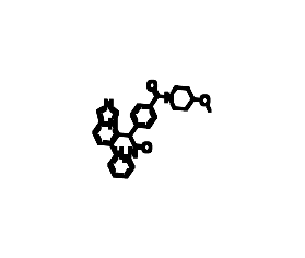 COC1CCN(C(=O)c2ccc(C(C(N)=O)c3c(-c4ccccc4)ccc4cncn34)cc2)CC1